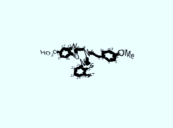 COc1ccc(CCN(Cc2nc3cc(C(=O)O)ccc3o2)c2nc3cccc(F)c3s2)cc1